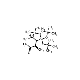 C=C(C(N)=O)C(CC)[Si](O[Si](C)(C)C)(O[Si](C)(C)C)O[Si](C)(C)C